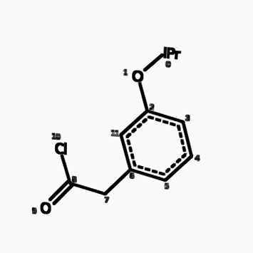 CC(C)Oc1cccc(CC(=O)Cl)c1